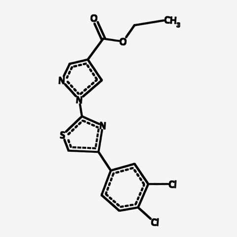 CCOC(=O)c1cnn(-c2nc(-c3ccc(Cl)c(Cl)c3)cs2)c1